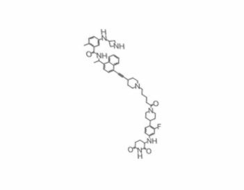 Cc1ccc(NC2CNC2)cc1C(=O)NC(C)c1ccc(C#CC2CCN(CCCCC(=O)N3CCC(c4ccc(NC5CCC(=O)NC5=O)cc4F)CC3)CC2)c2ccccc12